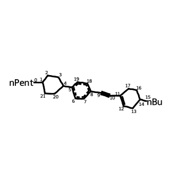 CCCCCC1CCC(c2ccc(C#CC3=CCC(CCCC)CC3)cc2)CC1